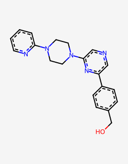 OCc1ccc(-c2cncc(N3CCN(c4ccccn4)CC3)n2)cc1